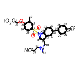 Cc1cc(S(=O)(=O)n2cc(CN(C)CCC#N)c3cc(-c4ccc(C(F)(F)F)cc4)ccc32)ccc1OCC(=O)O